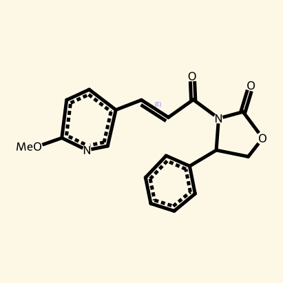 COc1ccc(/C=C/C(=O)N2C(=O)OCC2c2ccccc2)cn1